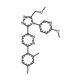 COCc1nnc(-c2ccc(-c3ccc(F)cc3C)nn2)n1-c1ccc(OC)nc1